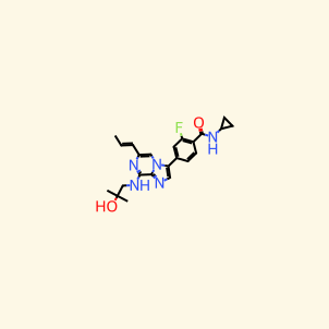 C/C=C/c1cn2c(-c3ccc(C(=O)NC4CC4)c(F)c3)cnc2c(NCC(C)(C)O)n1